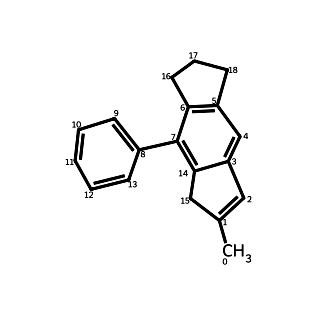 CC1=Cc2cc3c(c(-c4ccccc4)c2C1)CCC3